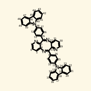 c1cnc2c(c1)/N=C(/c1ccc(-n3c4ccccc4c4ccccc43)cc1)c1ncccc1/N=C\2c1ccc(-n2c3ccccc3c3ccccc32)cc1